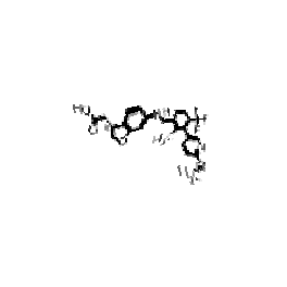 COc1ccc(-c2c(C(F)(F)F)ccc(CNc3ccc4c(c3)OC[C@H]4CC(=O)O)c2C)cn1